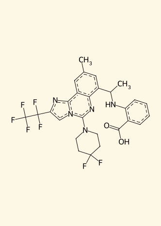 Cc1cc(C(C)Nc2ccccc2C(=O)O)c2nc(N3CCC(F)(F)CC3)n3cc(C(F)(F)C(F)(F)F)nc3c2c1